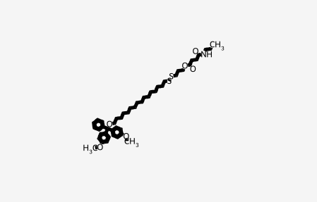 CCCNC(=O)CCC(=O)OCCCSSCCCCCCCCCCCCCCCCOC(c1ccccc1)(c1ccc(OC)cc1)c1ccc(OC)cc1